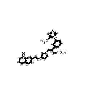 Cc1nncn1-c1cccc([C@@H](CC(=O)O)CN2CC[C@@H](CCc3ccc4c(n3)NCCC4)C2)c1